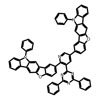 c1ccc(-c2nc(-c3ccccc3)nc(-c3cc(-c4ccc5oc6cc7c8ccccc8n(-c8ccccc8)c7cc6c5c4)cnc3-c3ccc4oc5cc6c7ccccc7n(-c7ccccc7)c6cc5c4c3)n2)cc1